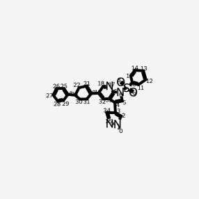 Cn1cc(-c2cn(S(=O)(=O)c3ccccc3)c3ncc(C4=CCC(c5ccccc5)CC4)cc23)cn1